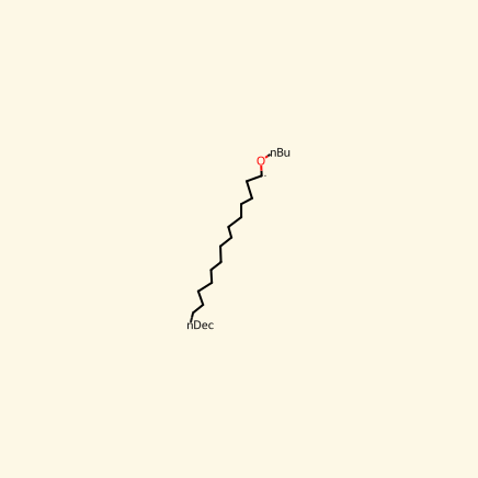 CCCCCCCCCCCCCCCCCCCCCCC[CH]OCCCC